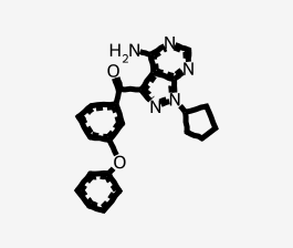 Nc1ncnc2c1c(C(=O)c1cccc(Oc3ccccc3)c1)nn2C1CCCC1